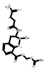 CC(C)(C)C(=O)OCOC(=O)c1cccc2c1OB(O)C(NC(=O)CCC(N)=O)C2